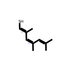 CC(C)=C/C(C)=C\C(C)=C\S